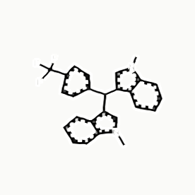 Cn1cc(C(c2ccc(C(F)(F)F)cc2)c2cn(C)c3ccccc23)c2ccccc21